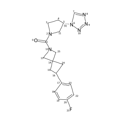 O=C(N1CC[C@H](n2cnnn2)C1)N1CC2(CC(c3ccc(F)cc3)C2)C1